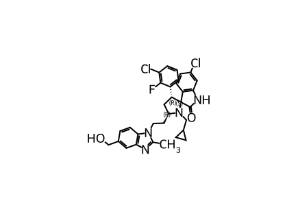 Cc1nc2cc(CO)ccc2n1CC[C@H]1C[C@H](c2cccc(Cl)c2F)[C@]2(C(=O)Nc3cc(Cl)ccc32)N1CC1CC1